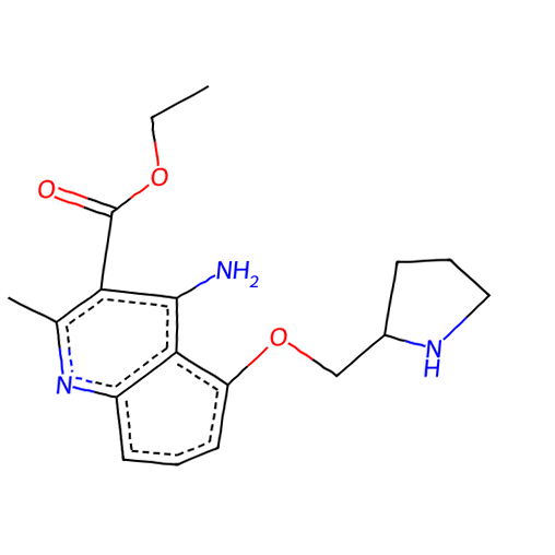 CCOC(=O)c1c(C)nc2cccc(OCC3CCCN3)c2c1N